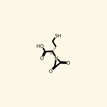 O=C(O)[C@H](CCS)n1c(=O)c1=O